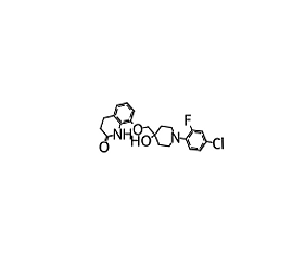 O=C1CCc2cccc(OCC3(O)CCN(c4ccc(Cl)cc4F)CC3)c2N1